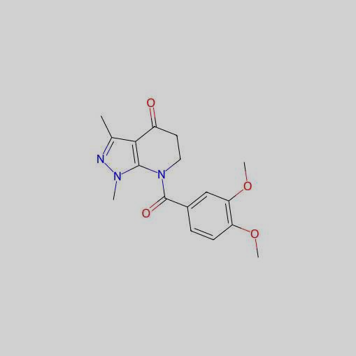 COc1ccc(C(=O)N2CCC(=O)c3c(C)nn(C)c32)cc1OC